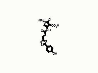 CCCCn1cc(NC(=O)CCc2nc(-c3ccc(O)cc3)no2)c(C(=O)O)c1Cl